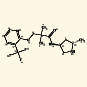 C[C@H]1C[C@H](NC(=O)C(C)(C)COc2ncccc2C(F)(F)F)CN1